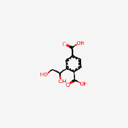 O=C(O)c1ccc(C(=O)O)c(C(O)CO)c1